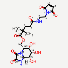 CC(C)(CCC(=O)NCCN1C(=O)C=CC1=O)C(=O)OC[C@@H]1[C@@H](O)[C@H](O)[C@H](O)[C@H]2NC(=O)C(=O)N12